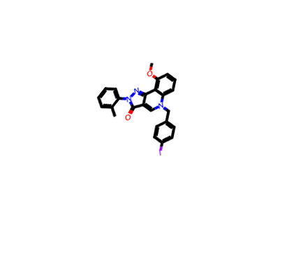 COc1cccc2c1c1nn(-c3ccccc3C)c(=O)c-1cn2Cc1ccc(I)cc1